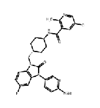 CNc1ccc(-n2c(=O)n(C[C@H]3CC[C@H](NC(=O)c4cc(Cl)cnc4C)CC3)c3ccc(F)cc32)cn1